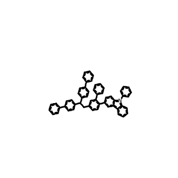 c1ccc(-c2ccc(C(Cc3ccc(-c4ccc5c(c4)c4ccccc4n5-c4ccccc4)c(-c4ccccc4)c3)c3ccc(-c4ccccc4)cc3)cc2)cc1